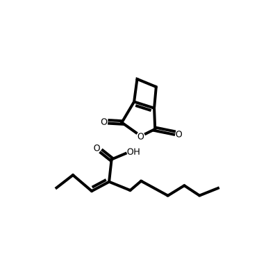 CCC=C(CCCCCC)C(=O)O.O=C1OC(=O)C2=C1CC2